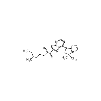 CCC(C)CCCC(=N)C(=O)c1nc2c(N3CC(C)(C)c4ccccc43)ncnc2s1